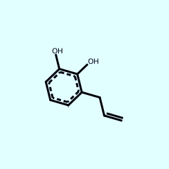 C=CCc1[c]ccc(O)c1O